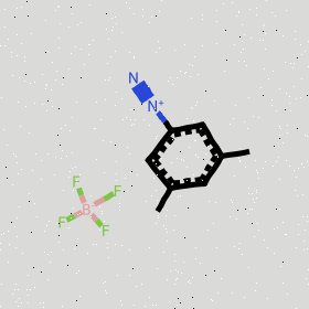 Cc1cc(C)cc([N+]#N)c1.F[B-](F)(F)F